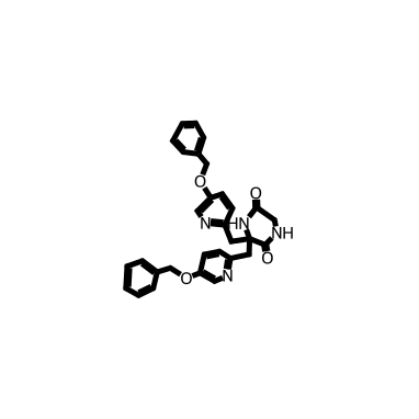 O=C1CNC(=O)C(Cc2ccc(OCc3ccccc3)cn2)(Cc2ccc(OCc3ccccc3)cn2)N1